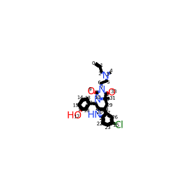 C=CCN(C)CCN1C(=O)N2C(c3cccc(O)c3)c3[nH]c4ccc(Cl)cc4c3CC2(C)C1=O